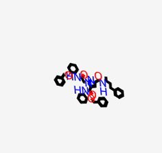 CC(CCc1ccccc1)NC(=O)c1cc(C(=O)N[C@H]2CCCC[C@@H]2OCc2ccccc2)n(CC(=O)N[C@H]2CCCC[C@@H]2OCc2ccccc2)n1